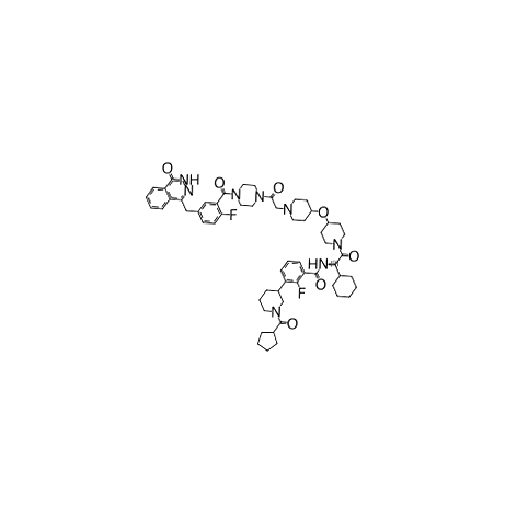 O=C(N[C@@H](C(=O)N1CCC(OC2CCN(CC(=O)N3CCN(C(=O)c4cc(Cc5n[nH]c(=O)c6ccccc56)ccc4F)CC3)CC2)CC1)C1CCCCC1)c1cccc(C2CCCN(C(=O)C3CCCC3)C2)c1F